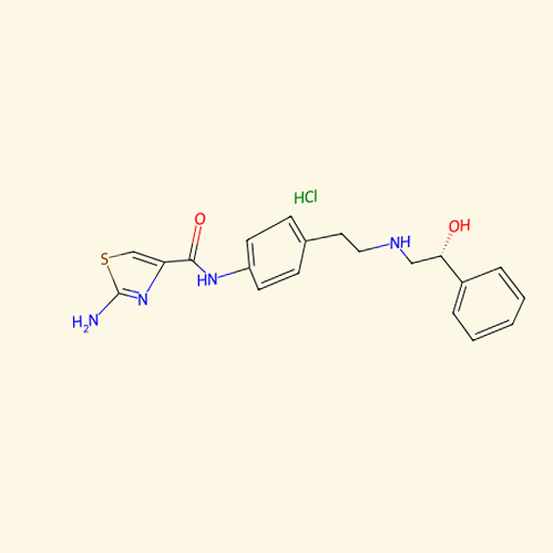 Cl.Nc1nc(C(=O)Nc2ccc(CCNC[C@H](O)c3ccccc3)cc2)cs1